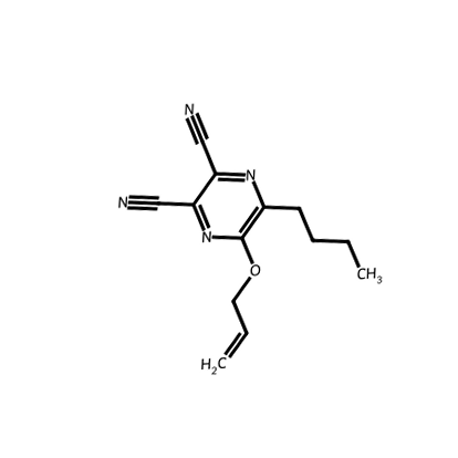 C=CCOc1nc(C#N)c(C#N)nc1CCCC